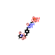 O=C(NCCOP(=O)(O)O)NCc1ccc(CC(=O)ON2C(=O)CCC2=O)cc1